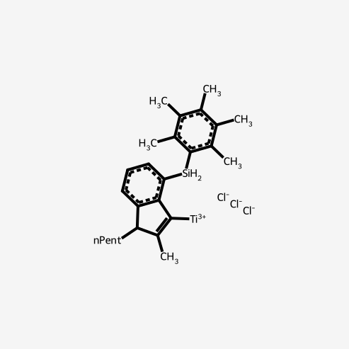 CCCCCC1C(C)=[C]([Ti+3])c2c([SiH2]c3c(C)c(C)c(C)c(C)c3C)cccc21.[Cl-].[Cl-].[Cl-]